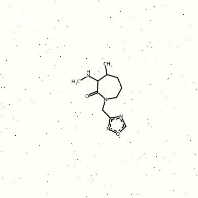 CNC1C(=O)N(Cc2ncon2)CCCC1C